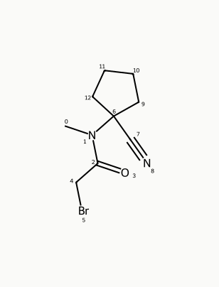 CN(C(=O)CBr)C1(C#N)CCCC1